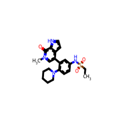 CCS(=O)(=O)Nc1ccc(N2CCCCC2)c(-c2cn(C)c(=O)c3[nH]ccc23)c1